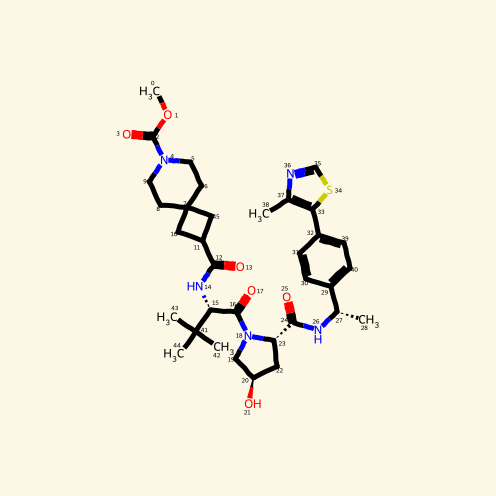 COC(=O)N1CCC2(CC1)CC(C(=O)N[C@H](C(=O)N1C[C@H](O)C[C@H]1C(=O)N[C@@H](C)c1ccc(-c3scnc3C)cc1)C(C)(C)C)C2